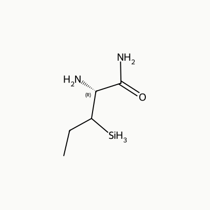 CCC([SiH3])[C@H](N)C(N)=O